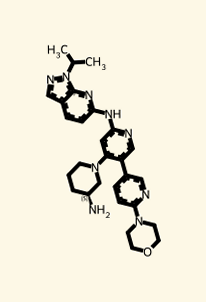 CC(C)n1ncc2ccc(Nc3cc(N4CCC[C@H](N)C4)c(-c4ccc(N5CCOCC5)nc4)cn3)nc21